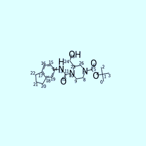 CC(C)(C)OC(=O)N1CCN(C(=O)Nc2ccc3c(c2)CCC3)C(CO)C1